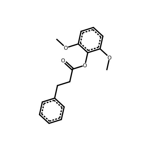 COc1cccc(OC)c1OC(=O)CCc1ccccc1